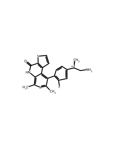 Cc1nc(C)c2[nH]c(=O)c3sccc3c2c1-c1ccc([C@@H](C)CN)cc1F